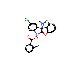 Cc1ccccc1C(=O)ON1C(=O)C(c2ccccc2Cl)(N(C)C)c2cc(Cl)ccc21